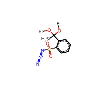 CCOC([SiH3])(OCC)c1ccccc1S(=O)(=O)N=[N+]=[N-]